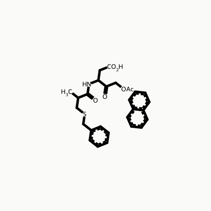 CC(=O)OCC(=O)C(CC(=O)O)NC(=O)C(C)CSCc1ccccc1.c1ccc2ccccc2c1